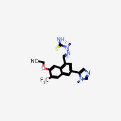 CN(/N=C/c1cc(-c2cncn2C)cc2cc(C(F)(F)F)c(OCC#N)cc12)C(N)=S